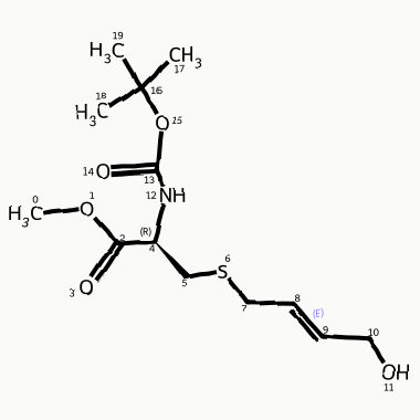 COC(=O)[C@H](CSC/C=C/CO)NC(=O)OC(C)(C)C